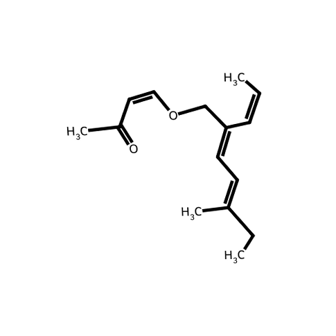 C\C=C/C(=C\C=C(/C)CC)CO/C=C\C(C)=O